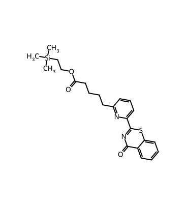 C[Si](C)(C)CCOC(=O)CCCCc1cccc(-c2nc(=O)c3ccccc3s2)n1